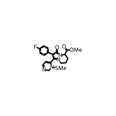 COC(=O)C1CCCn2c(C3=CC=NCN3SC)c(-c3ccc(F)cc3)c(=O)n21